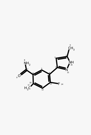 Cc1cc(-c2cc(C(N)=O)c(C)cc2F)n[nH]1